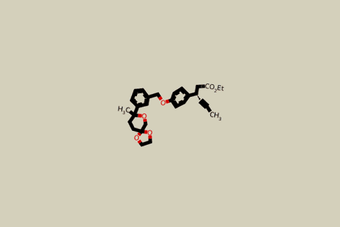 CC#C[C@@H](CC(=O)OCC)c1ccc(OCc2cccc(C3(C)CCC4(CO3)OCCO4)c2)cc1